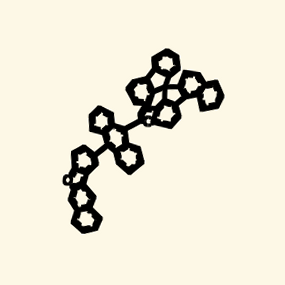 c1ccc2c(c1)-c1ccccc1C21c2ccc3ccccc3c2-c2ccc3cc(-c4c5ccccc5c(-c5ccc6oc7cc8ccccc8cc7c6c5)c5ccccc45)ccc3c21